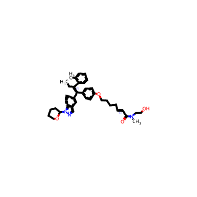 CC/C(=C(/c1ccc(OCCCC/C=C/C(=O)N(C)CCO)cc1)c1ccc2c(cnn2C2CCCCO2)c1)c1ccccc1C